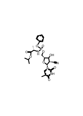 Cc1cn([C@H]2O[C@@H](COP(=O)(N[C@@H](C)C(=O)OC(C)C)Oc3ccccc3)C(O)[C@H]2C#N)c(=O)[nH]c1=O